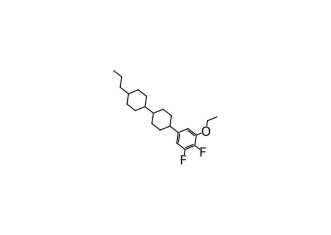 CCCC1CCC(C2CCC(c3cc(F)c(F)c(OCC)c3)CC2)CC1